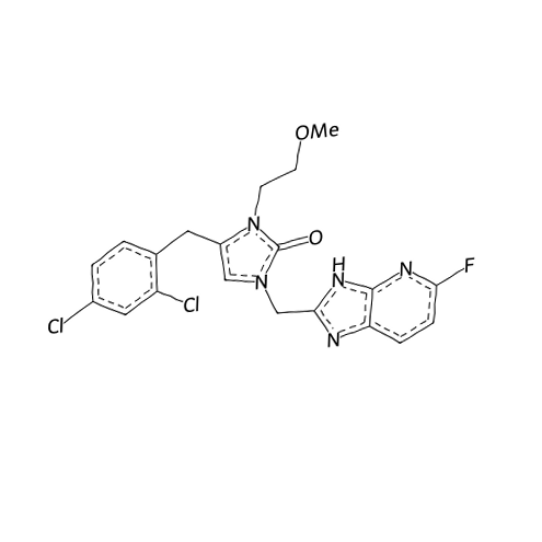 COCCn1c(Cc2ccc(Cl)cc2Cl)cn(Cc2nc3ccc(F)nc3[nH]2)c1=O